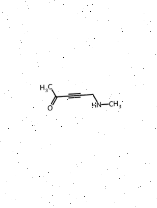 CNCC#CC(C)=O